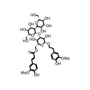 COc1cc(/C=C/C(=O)OC[C@H]2O[C@@H](OCCc3ccc(O)c(OC)c3)[C@H](O)[C@@H](O[C@@H]3O[C@H](CO)[C@@H](O)[C@H](O)[C@H]3C3O[C@H](CO)[C@@H](O)[C@H](O)[C@H]3O)[C@@H]2O)ccc1O